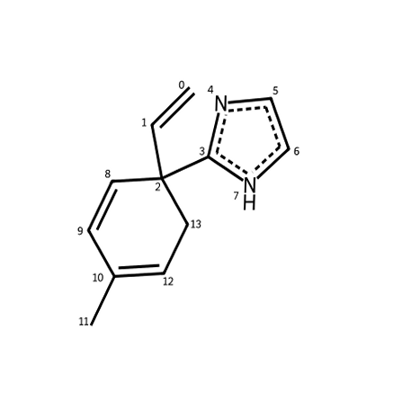 C=CC1(c2ncc[nH]2)C=CC(C)=CC1